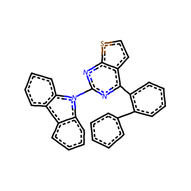 c1ccc(-c2ccccc2-c2nc(-n3c4ccccc4c4ccccc43)nc3sccc23)cc1